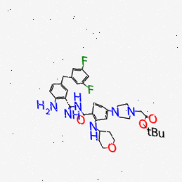 CC(C)(C)OC(=O)CN1CCN(c2ccc(C(=O)NC(=N)c3cc(Cc4cc(F)cc(F)c4)ccc3N)c(NC3CCOCC3)c2)CC1